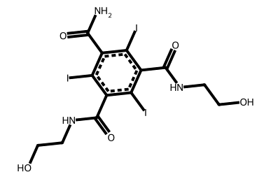 NC(=O)c1c(I)c(C(=O)NCCO)c(I)c(C(=O)NCCO)c1I